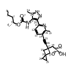 CCC[C@@H](C)OC(=O)Nc1c(-c2ccc(C#CC3(CS(=O)(=O)O)CC4(CC4)C3)c(C)n2)nnn1C